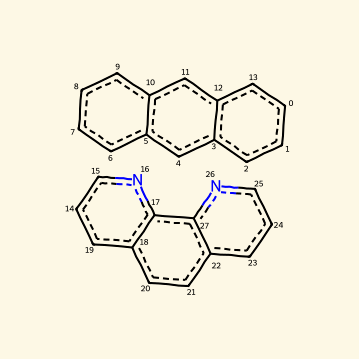 c1ccc2cc3ccccc3cc2c1.c1cnc2c(c1)ccc1cccnc12